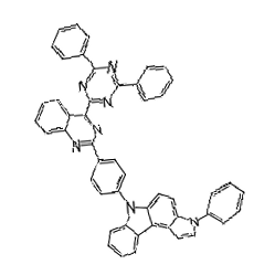 c1ccc(-c2nc(-c3ccccc3)nc(-c3nc(-c4ccc(-n5c6ccccc6c6c7ccn(-c8ccccc8)c7ccc65)cc4)nc4ccccc34)n2)cc1